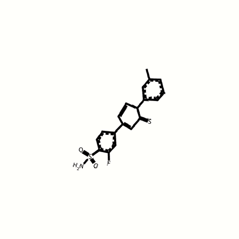 Cc1cccc(C2C=CC(c3ccc(S(N)(=O)=O)c(F)c3)=CC2=S)c1